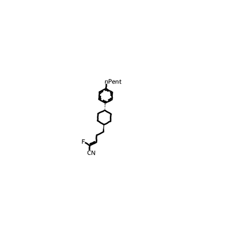 CCCCCc1ccc([C@H]2CC[C@H](CCC=C(F)C#N)CC2)cc1